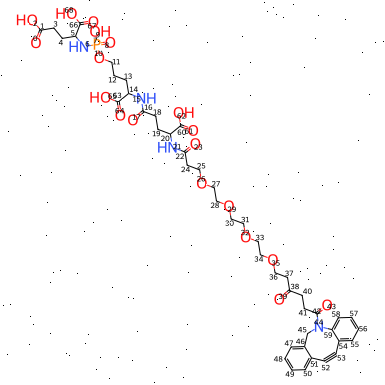 O=C(O)CCC(NP(=O)(O)OCCCC(NC(=O)CCC(NC(=O)CCOCCOCCOCCOCCC(=O)CCC(=O)N1Cc2ccccc2C#Cc2ccccc21)C(=O)O)C(=O)O)C(=O)O